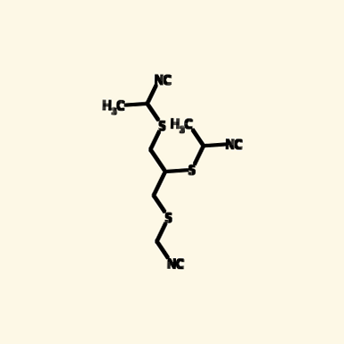 [C-]#[N+]CSCC(CSC(C)[N+]#[C-])SC(C)[N+]#[C-]